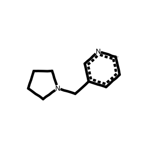 [c]1ccc(CN2CCCC2)cn1